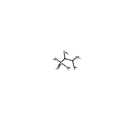 CC(C)C(C)C(C)P(=O)(O)O